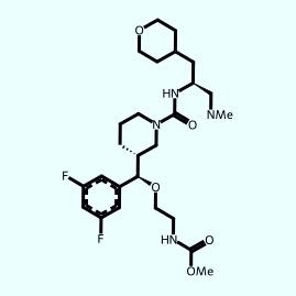 CNC[C@H](CC1CCOCC1)NC(=O)N1CCC[C@@H]([C@@H](OCCNC(=O)OC)c2cc(F)cc(F)c2)C1